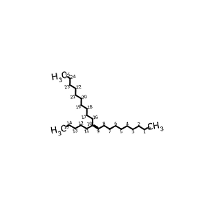 CCCCCCCCCC=C(CCCCC)CCCCCCCCCC